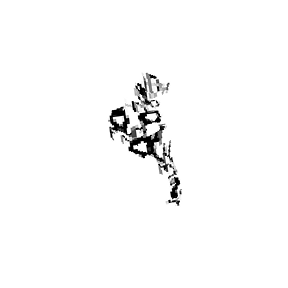 CC(C)(C)OC(=O)N[C@H]1CCC[C@@H](n2c(-c3ccccc3F)nc3ccc(-c4ncn(COCC[Si](C)(C)C)n4)c(F)c32)C1